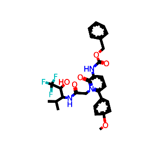 COc1ccc(-c2ccc(NC(=O)OCc3ccccc3)c(=O)n2CC(=O)NC(C(C)C)C(O)C(F)(F)F)cc1